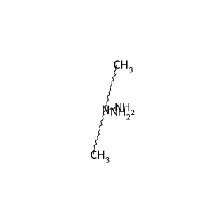 CCCCCCCCCCCCCCCCCCN(CCCCCCCCCCCCCCCCCC)CCC(N)CN